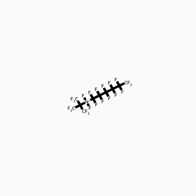 FC(F)(F)C(F)(F)C(F)(F)C(F)(F)C(F)(F)C(F)(F)[N+](F)(F)C(C(F)(F)F)(C(F)(F)F)C(F)(F)F